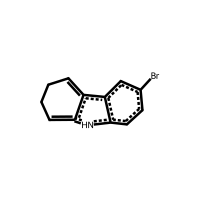 Brc1ccc2[nH]c3c(c2c1)=CCCC=3